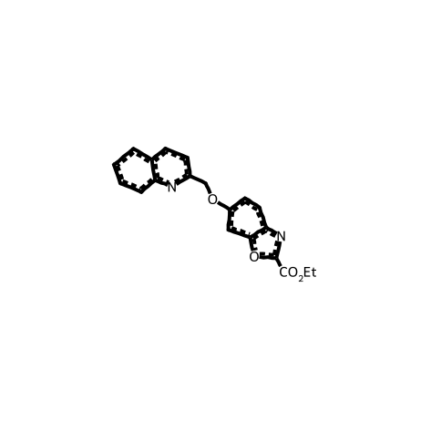 CCOC(=O)c1nc2ccc(OCc3ccc4ccccc4n3)cc2o1